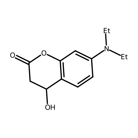 CCN(CC)c1ccc2c(c1)OC(=O)CC2O